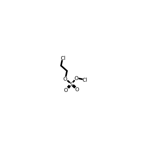 O=S(=O)(OCl)OCCCl